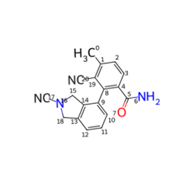 Cc1ccc(C(N)=O)c(-c2cccc3c2CN(C#N)C3)c1C#N